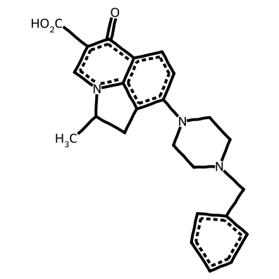 CC1Cc2c(N3CCN(Cc4ccccc4)CC3)ccc3c(=O)c(C(=O)O)cn1c23